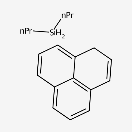 C1=Cc2cccc3cccc(c23)C1.CCC[SiH2]CCC